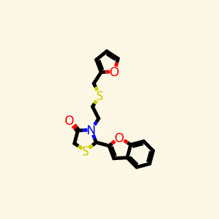 O=C1CSC(c2cc3ccccc3o2)N1CCSCc1ccco1